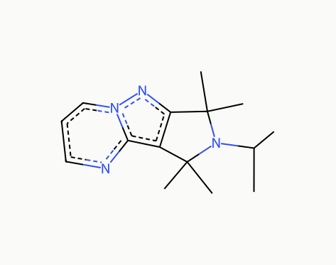 CC(C)N1C(C)(C)c2nn3cccnc3c2C1(C)C